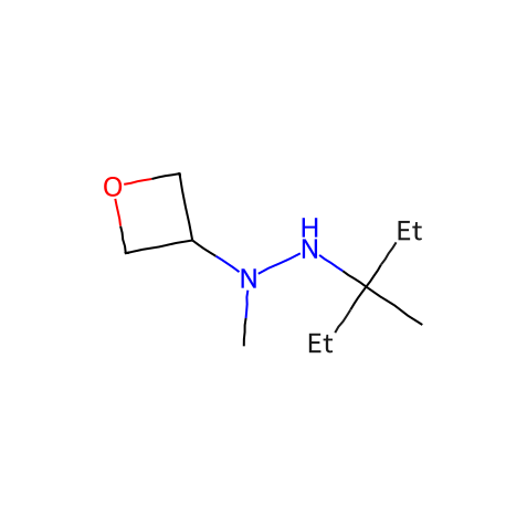 CCC(C)(CC)NN(C)C1COC1